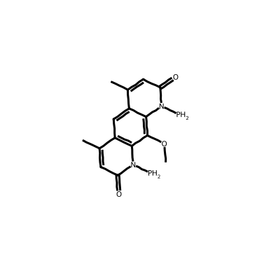 COc1c2c(cc3c(C)cc(=O)n(P)c13)c(C)cc(=O)n2P